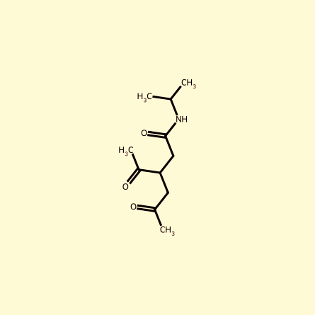 CC(=O)CC(CC(=O)NC(C)C)C(C)=O